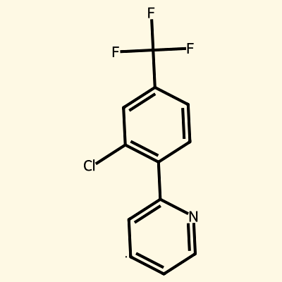 FC(F)(F)c1ccc(-c2c[c]ccn2)c(Cl)c1